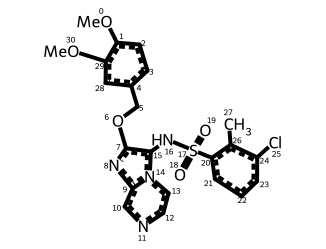 COc1ccc(COc2nc3cnccn3c2NS(=O)(=O)c2cccc(Cl)c2C)cc1OC